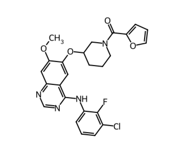 COc1cc2ncnc(Nc3cccc(Cl)c3F)c2cc1OC1CCCN(C(=O)c2ccco2)C1